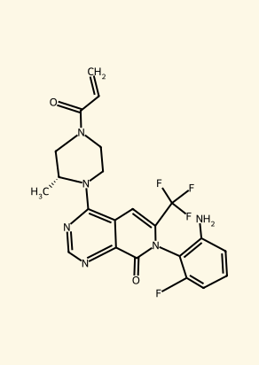 C=CC(=O)N1CCN(c2ncnc3c(=O)n(-c4c(N)cccc4F)c(C(F)(F)F)cc23)[C@H](C)C1